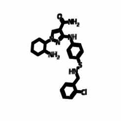 NC(=O)c1cn(C2CCCCC2N)nc1Nc1ccc(SNCc2ccccc2Cl)cc1